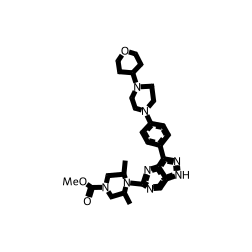 COC(=O)N1CC(C)N(c2ncc3[nH]nc(-c4ccc(N5CCN(C6CCOCC6)CC5)cc4)c3n2)C(C)C1